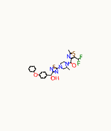 Cc1nc(C(=O)N2CCN(c3nc(C(O)c4ccc(Oc5ccccc5)cc4)ns3)CC2C)c(C(F)F)s1